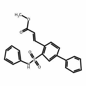 COC(=O)C=Cc1ccc(-c2ccccc2)cc1S(=O)(=O)Nc1ccccc1